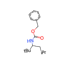 CC(C)CC(NC(=O)OCc1ccccc1)C(C)(C)C